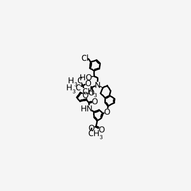 COC(=O)c1cc(NC(=O)c2ccco2)cc(Oc2ccc3c(c2)C[C@@H](N(C[C@@H](O)c2cccc(Cl)c2)C(=O)OC(C)(C)C)CC3)c1